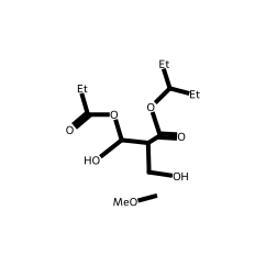 CCC(=O)OC(O)C(CO)C(=O)OC(CC)CC.COC